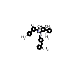 C=N/C(=N\C(=N/Cc1ccc(Cc2ccccc2C)cc1)C1C=C(C2=C(C)CCC=C2)C(C)=CC1)c1cc(Cl)cc(-c2ccc(C)cc2)c1